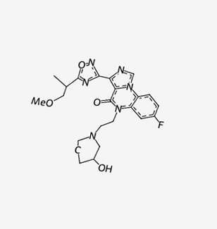 COCC(C)c1nc(-c2ncn3c2c(=O)n(CCN2CCCC(O)C2)c2cc(F)ccc23)no1